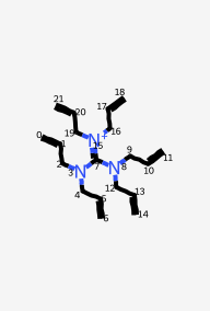 C=CCN(CC=C)C(N(CC=C)CC=C)=[N+](CC=C)CC=C